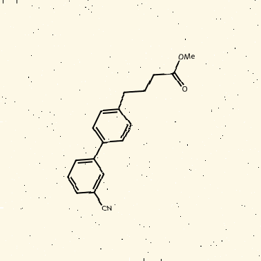 COC(=O)CCCc1ccc(-c2cccc(C#N)c2)cc1